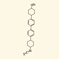 CCCC1CCC(c2ccc(-c3ccc(C4CCC(N=C=S)CC4)cc3)cc2)CC1